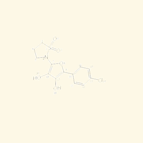 O=S1(=O)CCCN1c1oc(-c2ccc(Cl)cc2)c(O)c1O